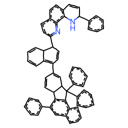 C1=CC2=C(C3=CC4C(C=C3)c3c(-c5ccccc5)cc5ccccc5c3C4(c3ccccc3)c3ccccc3)C=CC(c3ccc4ccc5c(c4n3)NC(c3ccccc3)C=C5)C2C=C1